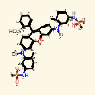 CCN(c1ccc2c(-c3ccccc3S(=O)(=O)O)c3ccc(N(CC)c4cc(NS(C)(=O)=O)ccc4C)cc3[o+]c2c1)c1cc(NS(C)(=O)=O)ccc1C